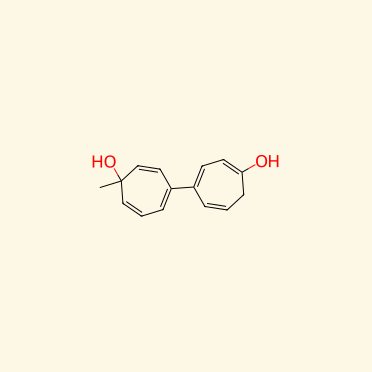 CC1(O)C=CC=C(C2=CC=C(O)CC=C2)C=C1